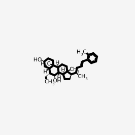 CC[C@H]1[C@@H](O)[C@@H]2[C@H](CC[C@]3(C)[C@@H]([C@H](C)C/C=C/c4ccccc4C)CC[C@@H]23)[C@@]2(C)CC[C@@H](O)C[C@@H]12